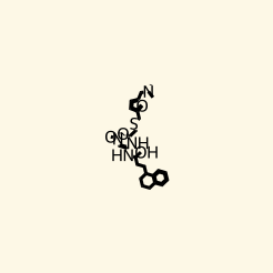 CN(C)Cc1ccc(CSCCNC(=C[N+](=O)[O-])NC(O)CCC2CCCc3ccccc32)o1